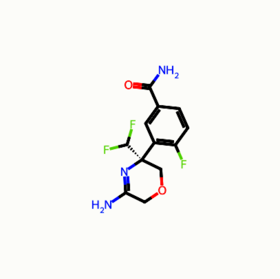 NC(=O)c1ccc(F)c([C@@]2(C(F)F)COCC(N)=N2)c1